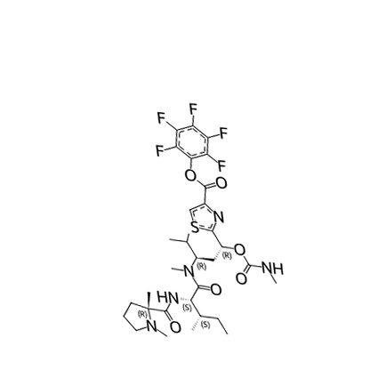 CC[C@H](C)[C@H](NC(=O)[C@@]1(C)CCCN1C)C(=O)N(C)[C@H](C[C@@H](OC(=O)NC)c1nc(C(=O)Oc2c(F)c(F)c(F)c(F)c2F)cs1)C(C)C